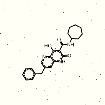 O=C(NC1CCCCCC1)c1c(O)c2ncc(Cc3ccccc3)cc2[nH]c1=O